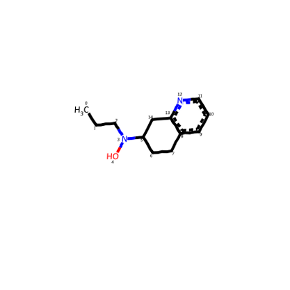 CCCN(O)C1CCc2cccnc2C1